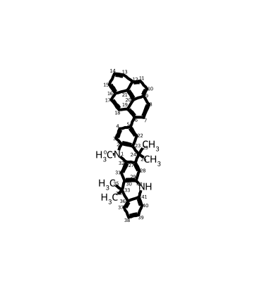 CN1c2ccc(-c3ccc4ccc5cccc6ccc3c4c56)cc2C(C)(C)c2cc3c(cc21)C(C)(C)c1ccccc1N3